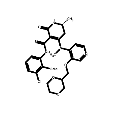 COc1c(Cl)cccc1NC(=S)C1=C(N(C)c2ccncc2OCC2COCCO2)C[C@@H](C)NC1=O